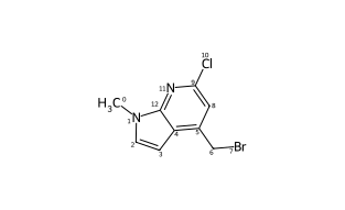 Cn1ccc2c(CBr)cc(Cl)nc21